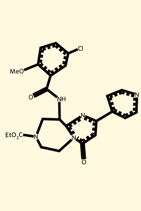 CCOC(=O)N1CCn2c(nc(-c3ccncc3)cc2=O)C(NC(=O)c2cc(Cl)ccc2OC)C1